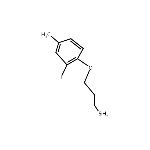 Cc1ccc(OCCC[SiH3])c(I)c1